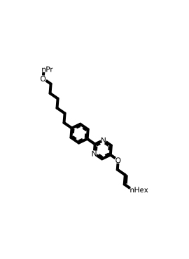 CCCCCC/C=C/COc1cnc(-c2ccc(CCCCCCOCCC)cc2)nc1